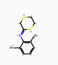 CC(C)c1cccc(C(C)C)c1/N=C1/CSCCS1